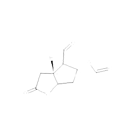 O=CO[C@@H]1CC2OC(=O)C[C@@H]2C1C=O